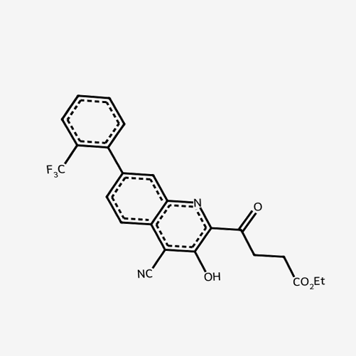 CCOC(=O)CCC(=O)c1nc2cc(-c3ccccc3C(F)(F)F)ccc2c(C#N)c1O